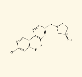 O[C@@H]1CCN(Cc2cnc(-c3cnc(Cl)cc3F)c(F)c2)C1